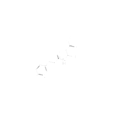 COC(=O)CC(C)NC(=O)CCc1ccccc1